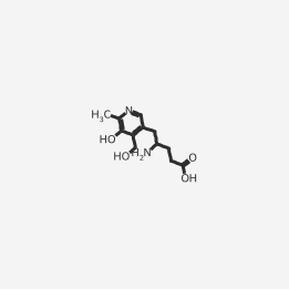 Cc1ncc(CC(N)CCC(=O)O)c(CO)c1O